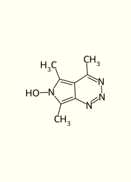 Cc1nnnc2c(C)n(O)c(C)c12